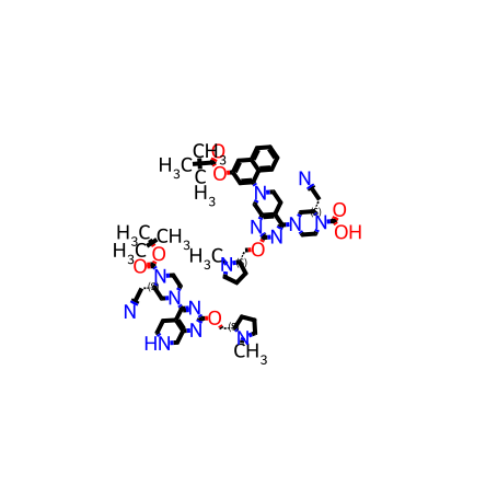 CN1CCC[C@H]1COc1nc2c(c(N3CCN(C(=O)O)[C@@H](CC#N)C3)n1)CCN(c1cc(OC(=O)C(C)(C)C)cc3ccccc13)C2.CN1CCC[C@H]1COc1nc2c(c(N3CCN(C(=O)OC(C)(C)C)[C@@H](CC#N)C3)n1)CCNC2